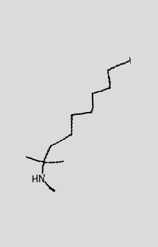 CNC(C)(C)CCCCCCCI